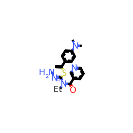 C=C(S/C(=N\N)N(CC)C(=O)c1cccnc1)c1ccc(N(C)C)cc1